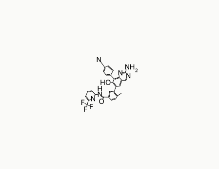 Cc1ccc(C(=O)Nc2cccc(C(F)(F)F)n2)cc1-c1cc2cnc(N)nc2c(-c2ccc(C#N)cc2)c1O